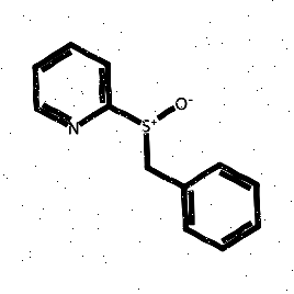 [O-][S+](Cc1ccccc1)c1ccccn1